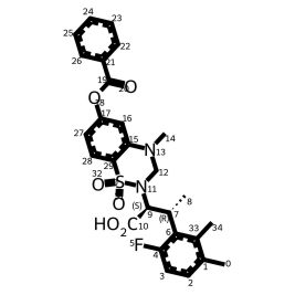 Cc1ccc(F)c([C@@H](C)[C@@H](C(=O)O)N2CN(C)c3cc(OC(=O)c4ccccc4)ccc3S2(=O)=O)c1C